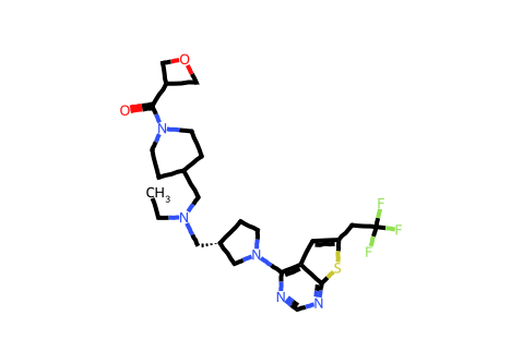 CCN(CC1CCN(C(=O)C2COC2)CC1)C[C@@H]1CCN(c2ncnc3sc(CC(F)(F)F)cc23)C1